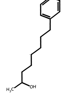 CC(O)CC[CH]CCCc1ccccc1